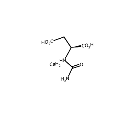 NC(=O)N[C@@H](CC(=O)O)C(=O)O.[CaH2]